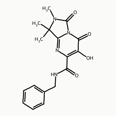 CN1C(=O)n2c(nc(C(=O)NCc3ccccc3)c(O)c2=O)C1(C)C